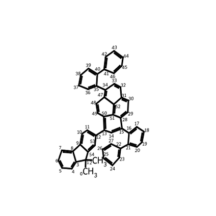 CC1(C)c2ccccc2-c2ccc(-c3cc(-c4ccccc4-c4ccccc4)c4ccc5ccc(-c6ccccc6-c6ccccc6)c6ccc3c4c56)cc21